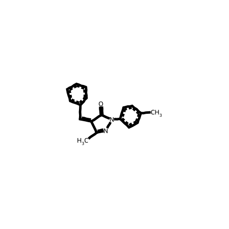 CC1=NN(c2ccc(C)cc2)C(=O)C1=Cc1ccccc1